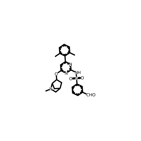 Cc1cccc(C)c1-c1cc(OC2CC3CC2N(C)C3)nc(NS(=O)(=O)c2cccc(C=O)c2)n1